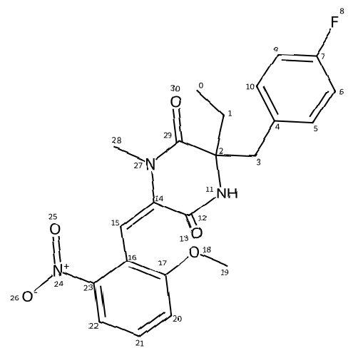 CCC1(Cc2ccc(F)cc2)NC(=O)C(=Cc2c(OC)cccc2[N+](=O)[O-])N(C)C1=O